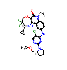 COC[C@H]1CCCN1c1ncc(Cl)c(Nc2ccc3c(c2)c2c(c(=O)n3C)OCC(F)(F)[C@H](C3CC3)N2)n1